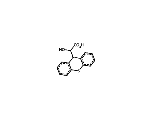 O=C(O)C(O)N1c2ccccc2Sc2ccccc21